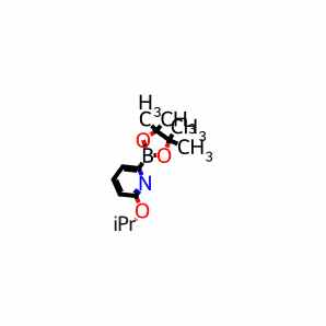 CC(C)Oc1cccc(B2OC(C)(C)C(C)(C)O2)n1